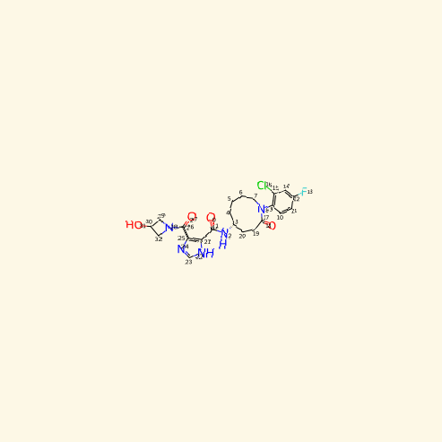 O=C(N[C@@H]1CCCCN(c2ccc(F)cc2Cl)C(=O)CC1)c1[nH]cnc1C(=O)N1CC(O)C1